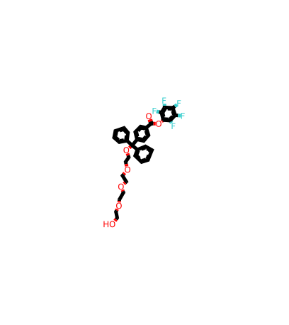 O=C(Oc1c(F)c(F)c(F)c(F)c1F)c1ccc(C(OCCOCCOCCOCCO)(c2ccccc2)c2ccccc2)cc1